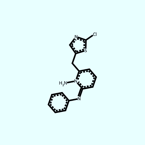 Nn1c(Cc2cnc(Cl)s2)ccc/c1=N/c1ccccc1